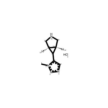 Cl.Cn1nncc1C1[C@H]2CNC[C@@H]12